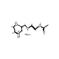 CC(=O)OCCOCC1CNCCO1.Cl